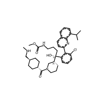 CNC[C@H]1CC[C@H](C(=O)N2CCC[C@@H]([C@@](O)(CCCNC(=O)OC)c3cccc(Cl)c3-c3ccc4cccc(C(C)C)c4n3)C2)CC1